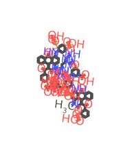 Cn1c(=O)c(C(=O)c2cccc(SOOO)c2)c2c3c(c(Nc4cc(Nc5nc(Cc6nc(Nc7cc(Nc8ccc9c%10c8C(=O)c8ccccc8-c%10c(C(=O)c8cccc(S(=O)(=O)O)c8)c(=O)n9C)c(S(=O)(=O)O)cc7SOOO)nc(Oc7cc(C(=O)O)cc(C(=O)O)c7)n6)nc(Oc6cc(C(=O)O)cc(C(=O)O)c6)n5)c(S(=O)(=O)O)cc4SOOO)ccc31)C(=O)c1ccccc1-2